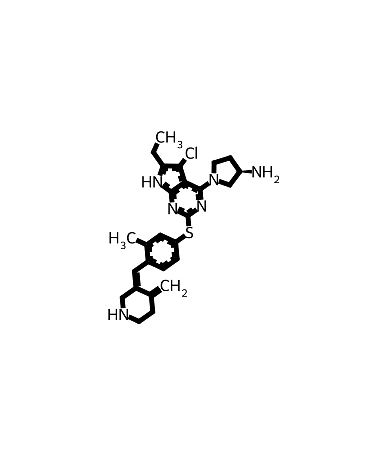 C=C1CCNC/C1=C/c1ccc(Sc2nc(N3CC[C@@H](N)C3)c3c(Cl)c(CC)[nH]c3n2)cc1C